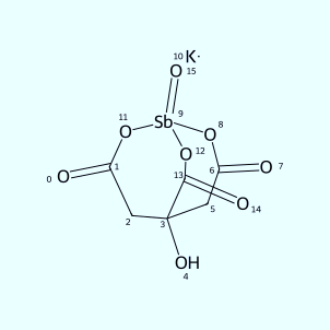 O=C1CC2(O)CC(=O)[O][Sb](=[O])([O]1)[O]C2=O.[K]